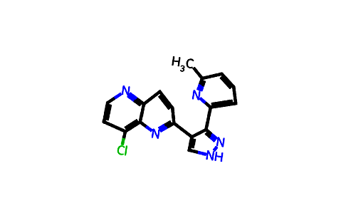 Cc1cccc(-c2n[nH]cc2-c2ccc3nccc(Cl)c3n2)n1